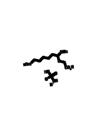 CCCCCCCCCCCCCCCC(OCC(=O)O)OCC(C)C.O=P([O-])(O)O.[K+]